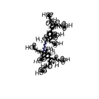 CC1(C)\C(=C/C=C/C=C/C2N(CCCS(=O)(=O)O)c3cc(S(=O)(=O)O)c4cc(-c5cc(C(=O)NCCS(=O)(=O)O)nc(C(=O)NCCS(=O)(=O)O)c5)ccc4c3C2(C)C)N(CCCCCC(=O)O)c2cc(S(=O)(=O)O)c3cc(-c4cc(C(=O)NCCS(=O)(=O)O)nc(C(=O)NCCS(=O)(=O)O)c4)ccc3c21